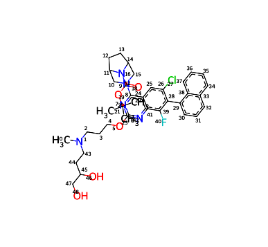 CN(CCCOc1nc(N2CC3CCC(C2)N3C(=O)OC(C)(C)C)c2cc(Cl)c(-c3cccc4ccccc34)c(F)c2n1)CCC(O)CO